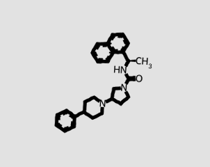 C[C@@H](NC(=O)N1CCC(N2CCC(c3ccccc3)CC2)C1)c1cccc2ccccc12